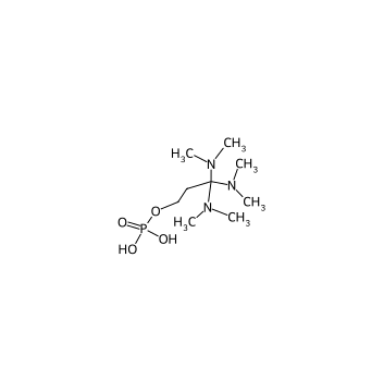 CN(C)C(CCOP(=O)(O)O)(N(C)C)N(C)C